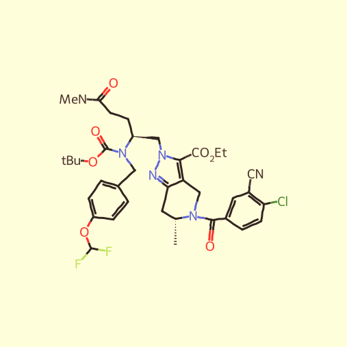 CCOC(=O)c1c2c(nn1C[C@H](CCC(=O)NC)N(Cc1ccc(OC(F)F)cc1)C(=O)OC(C)(C)C)C[C@@H](C)N(C(=O)c1ccc(Cl)c(C#N)c1)C2